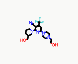 N#Cc1c(C(F)(F)F)cc(N2CCN(CCO)CC2)nc1N1CCCC(CO)C1